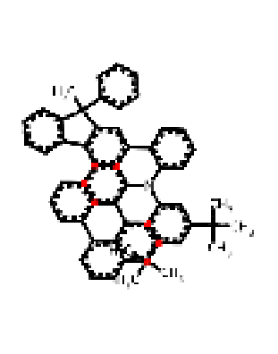 CC(C)(C)c1cc(N(c2ccccc2-c2ccc3c(c2)C(C)(c2ccccc2)c2ccccc2-3)c2ccccc2-c2cccc3cccc(-c4ccccc4)c23)cc(C(C)(C)C)c1